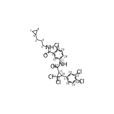 O=C(NCCCC1CC1)c1cc(NC(=O)C2C(c3ccc(Cl)c(Cl)c3)C2(Cl)Cl)ccc1Cl